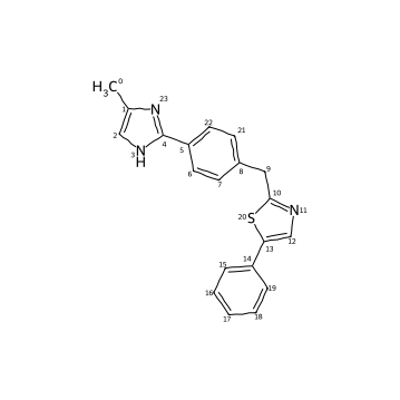 Cc1c[nH]c(-c2ccc(Cc3ncc(-c4ccccc4)s3)cc2)n1